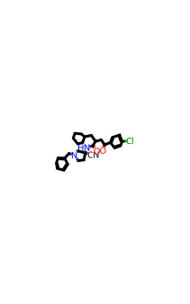 N#CC1(NC(=O)C(CC(=O)c2ccc(Cl)cc2)CC2CCCCC2)CCN(Cc2ccccc2)C1